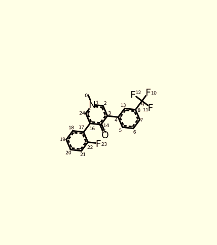 Cn1cc(-c2cccc(C(F)(F)F)c2)c(=O)c(-c2ccccc2F)c1